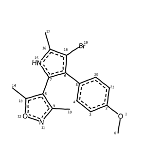 COc1ccc(-c2c(-c3c(C)noc3C)[nH]c(C)c2Br)cc1